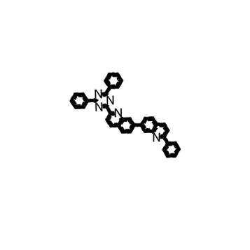 c1ccc(-c2ccc3ccc(-c4ccc5ccc(-c6nc(-c7ccccc7)nc(-c7ccccc7)n6)nc5c4)cc3n2)cc1